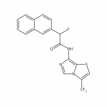 O=C(Nc1ncn2c(C(F)(F)F)csc12)C(F)c1ccc2ccccc2c1